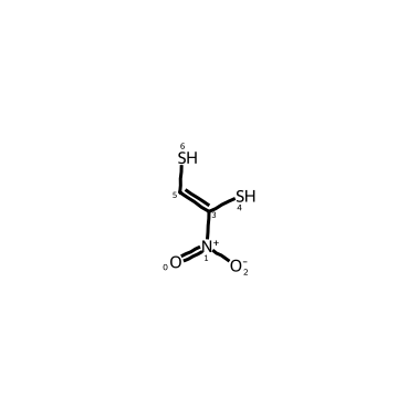 O=[N+]([O-])/C(S)=C/S